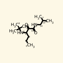 CCCC(NC(C)(C)C)C(=O)C(=O)NCC(C)C